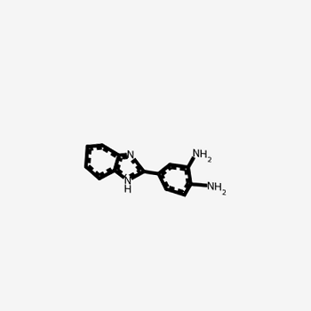 Nc1ccc(-c2nc3ccccc3[nH]2)cc1N